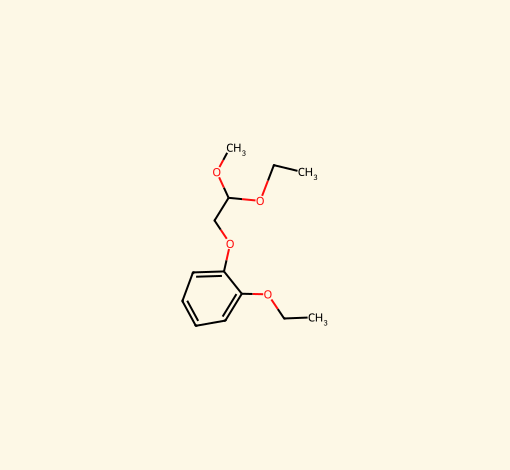 CCOc1ccccc1OCC(OC)OCC